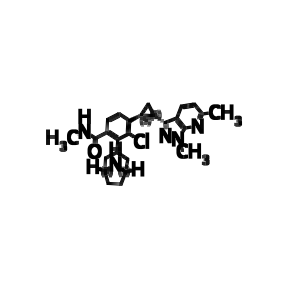 CNC(=O)c1ccc([C@H]2C[C@@H]2c2nn(C)c3nc(C)ccc23)c(Cl)c1C1C[C@H]2CC[C@@H](C1)N2